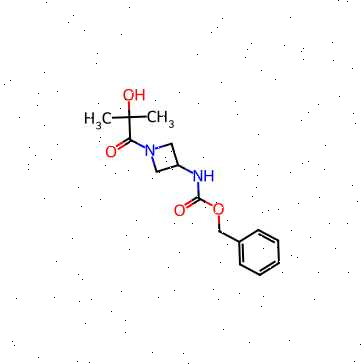 CC(C)(O)C(=O)N1CC(NC(=O)OCc2ccccc2)C1